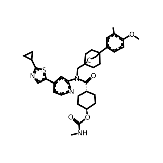 CNC(=O)O[C@H]1CC[C@H](C(=O)N(CC23CCC(c4ccc(OC)c(C)c4)(CC2)CC3)c2cc(-c3cnc(C4CC4)s3)ccn2)CC1